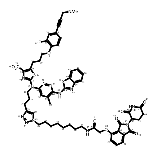 CNCC#Cc1ccc(OCCCc2sc(N(CCCc3cn(CCCCCCCCNC(=O)COc4cccc5c4C(=O)N(C4CCC(=O)NC4=O)C5=O)nn3)c3cc(C)c(Nc4nc5ccccc5s4)nn3)nc2C(=O)O)c(F)c1